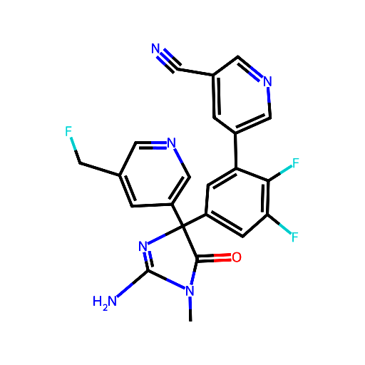 CN1C(=O)C(c2cncc(CF)c2)(c2cc(F)c(F)c(-c3cncc(C#N)c3)c2)N=C1N